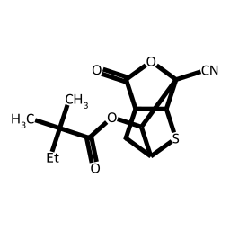 CCC(C)(C)C(=O)OC1C2CC3C(=O)OC1(C#N)C3S2